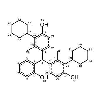 Cc1c(C(c2ccccc2O)c2ccc(O)c(C3CCCCC3)c2C)ccc(O)c1C1CCCCC1